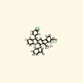 CC1=CC(c2c(C)c(=C(c3ccccc3)c3ccccc3)cc3c2=[C]([Zr+2])c2cc(C)ccc2-3)c2ccccc21.[Cl-].[Cl-]